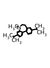 CC(C)c1ccc2c(c1)CCN(C)c1cc(C(C)C)ccc1-2